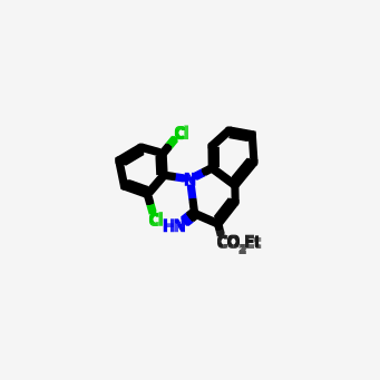 CCOC(=O)c1cc2ccccc2n(-c2c(Cl)cccc2Cl)c1=N